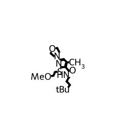 COCCSc1nc(N2CCOCC2)cc(C)c1C(=O)NCCCC(C)(C)C